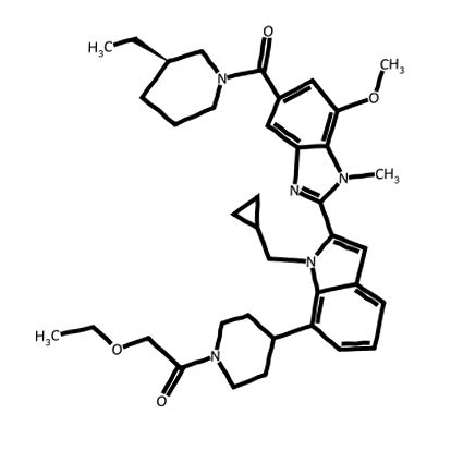 CCOCC(=O)N1CCC(c2cccc3cc(-c4nc5cc(C(=O)N6CCC[C@@H](CC)C6)cc(OC)c5n4C)n(CC4CC4)c23)CC1